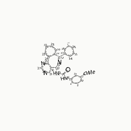 COc1cccc(NC(=O)NC2N=C(c3ccccc3)c3ccccc3-c3ncncc32)c1